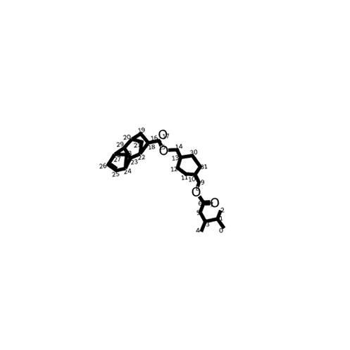 CC(C)C(C)CC(=O)OCC1CCC(COC(=O)C2CC3CC2C2C4C=CC(C4)C32)CC1